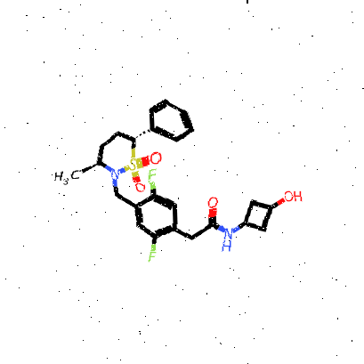 C[C@H]1CC[C@H](c2ccccc2)S(=O)(=O)N1Cc1cc(F)c(CC(=O)NC2CC(O)C2)cc1F